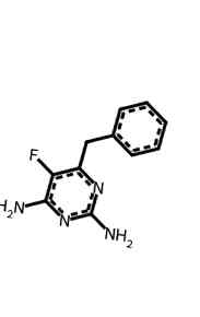 Nc1nc(N)c(F)c(Cc2ccccc2)n1